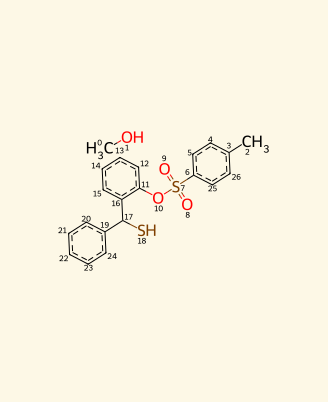 CO.Cc1ccc(S(=O)(=O)Oc2ccccc2C(S)c2ccccc2)cc1